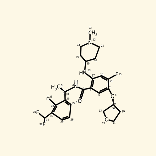 C[C@@H](NC(=O)c1cc(O[C@H]2CCOC2)c(F)cc1NC1CCN(C)CC1)c1cccc(C(F)F)c1F